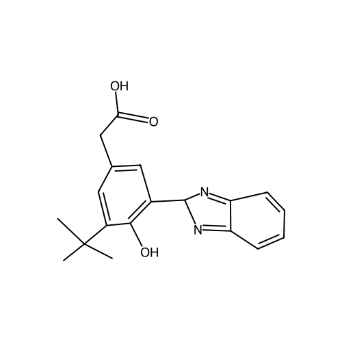 CC(C)(C)c1cc(CC(=O)O)cc(C2N=c3ccccc3=N2)c1O